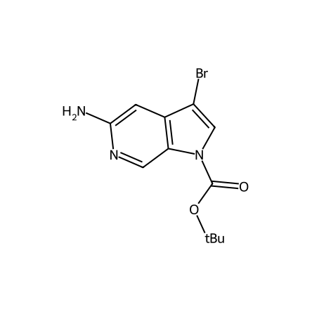 CC(C)(C)OC(=O)n1cc(Br)c2cc(N)ncc21